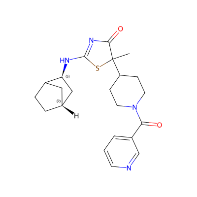 CC1(C2CCN(C(=O)c3cccnc3)CC2)SC(N[C@H]2C[C@@H]3CCC2C3)=NC1=O